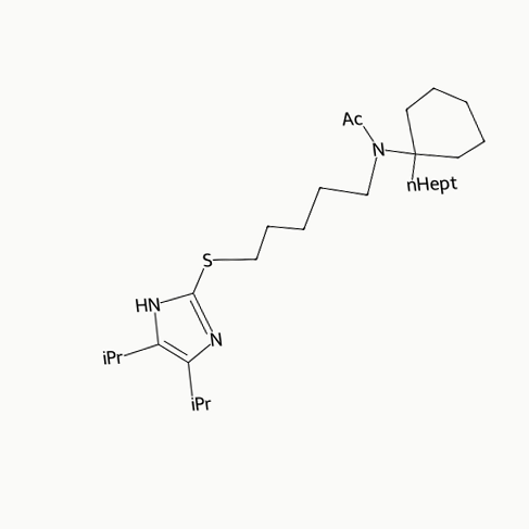 CCCCCCCC1(N(CCCCCSc2nc(C(C)C)c(C(C)C)[nH]2)C(C)=O)CCCCC1